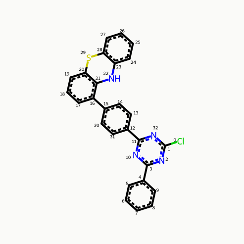 Clc1nc(-c2ccccc2)nc(-c2ccc(-c3cccc4c3Nc3ccccc3S4)cc2)n1